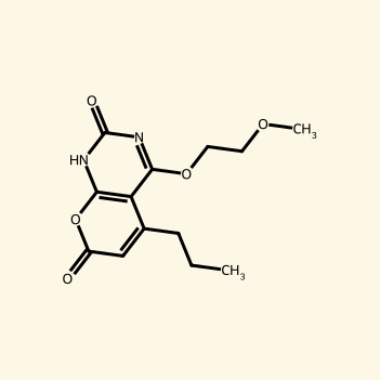 CCCc1cc(=O)oc2[nH]c(=O)nc(OCCOC)c12